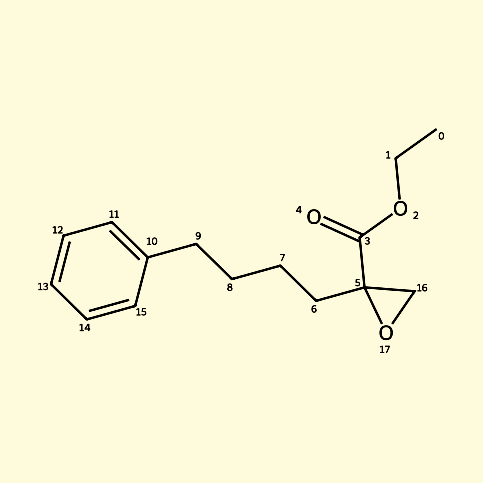 CCOC(=O)C1(CCCCc2ccccc2)CO1